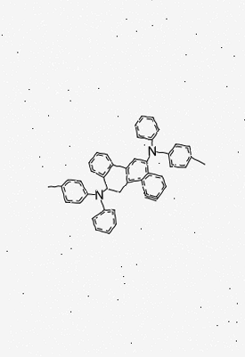 Cc1ccc(N(c2ccccc2)c2cc3c(c4c#cccc24)CC(N(c2ccccc2)c2ccc(C)cc2)c2ccccc2-3)cc1